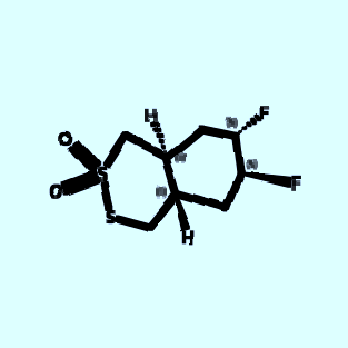 O=S1(=O)C[C@H]2C[C@H](F)[C@@H](F)C[C@@H]2CS1